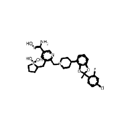 CC1(c2ccc(Cl)cc2F)Oc2cccc(C3CCN(Cc4ncc(C(N)=NO)cc4CC4CCCS4(O)O)CC3)c2O1